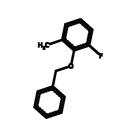 Cc1cccc(F)c1OCc1ccccc1